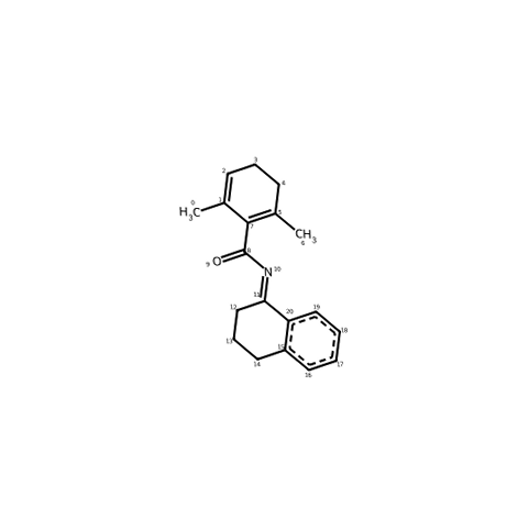 CC1=CCCC(C)=C1C(=O)/N=C1\CCCc2ccccc21